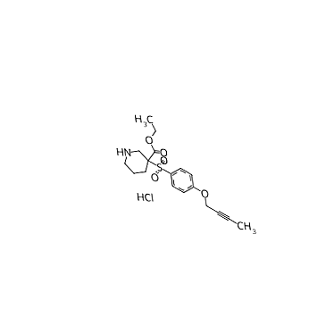 CC#CCOc1ccc(S(=O)(=O)C2(C(=O)OCC)CCCNC2)cc1.Cl